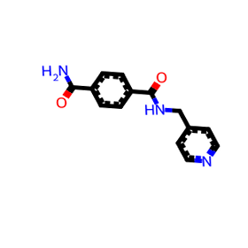 NC(=O)c1ccc(C(=O)NCc2ccncc2)cc1